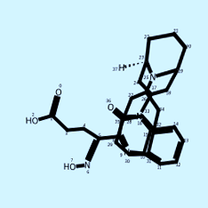 O=C(O)CCC(=NO)c1nc2ccccc2n(C2CC3CCC[C@H](C2)N3C2CC3CCCC(C3)C2)c1=O